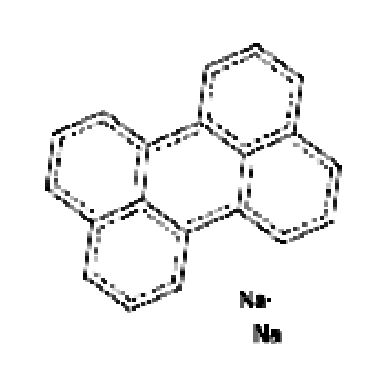 [Na].[Na].c1cc2cccc3c4cccc5cccc(c(c1)c23)c54